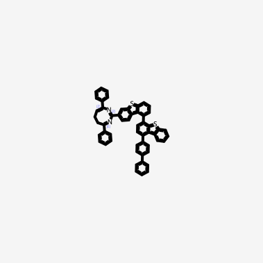 C1=C(c2ccccc2)/N=C(c2ccc3c(c2)sc2cccc(-c4ccc(-c5ccc(-c6ccccc6)cc5)c5c4sc4ccccc45)c23)\N=C(\c2ccccc2)CC\1